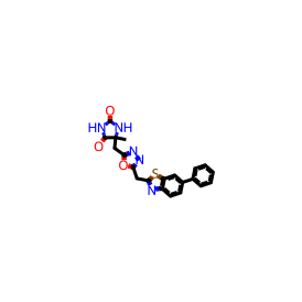 CC1(Cc2nnc(Cc3nc4ccc(-c5ccccc5)cc4s3)o2)NC(=O)NC1=O